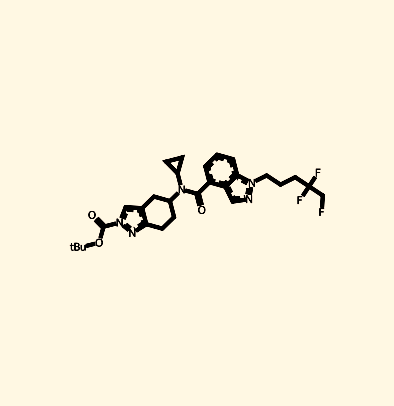 CC(C)(C)OC(=O)n1cc2c(n1)CCC(N(C(=O)c1cccc3c1cnn3CCCC(F)(F)CF)C1CC1)C2